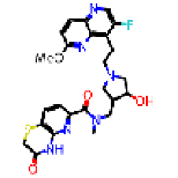 COc1ccc2ncc(F)c(CCN3CC(O)C(CN(C)C(=O)c4ccc5c(n4)NC(=O)CS5)C3)c2n1